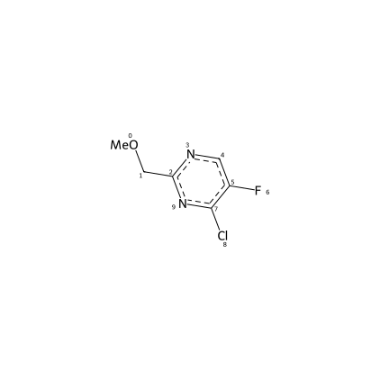 COCc1ncc(F)c(Cl)n1